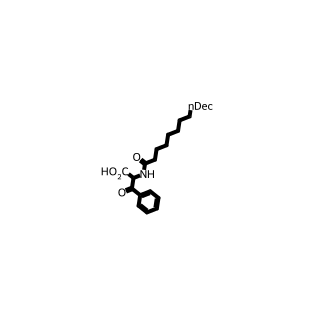 CCCCCCCCCCCCCCCCCC(=O)NC(C(=O)O)C(=O)c1ccccc1